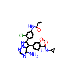 C=CC(=O)Nc1ccc(-c2nn3ncnc(N)c3c2-c2ccc(C(=O)NC3CC3)c(OC)c2)c(Cl)c1